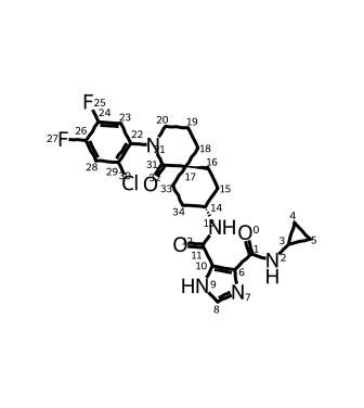 O=C(NC1CC1)c1nc[nH]c1C(=O)N[C@H]1CC[C@@]2(CCCN(c3cc(F)c(F)cc3Cl)C2=O)CC1